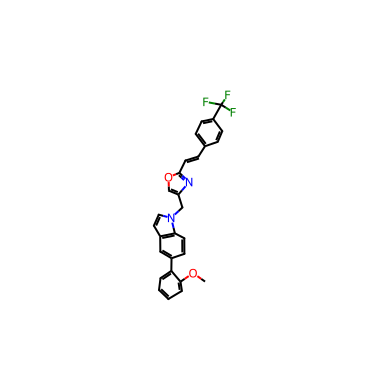 COc1ccccc1-c1ccc2c(ccn2Cc2coc(C=Cc3ccc(C(F)(F)F)cc3)n2)c1